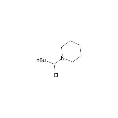 CCCCC(Cl)N1CCCCC1